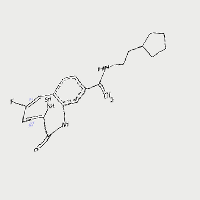 C=C(NCCC1CCCC1)c1ccc2c(c1)NC(=O)/C(NS)=C/C(F)=C\2